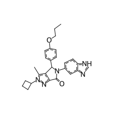 CCCOc1ccc(C2c3c(nn(C4CCC4)c3C)C(=O)N2c2ccc3[nH]cnc3c2)cc1